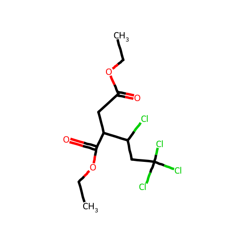 CCOC(=O)CC(C(=O)OCC)C(Cl)CC(Cl)(Cl)Cl